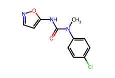 CN(C(=O)Nc1ccno1)c1ccc(Cl)cc1